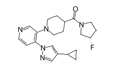 O=C(C1CCN(c2cnccc2-n2cc(C3CC3)cn2)CC1)N1CC[C@H](F)C1